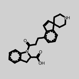 O=C(O)C1Cc2ccccc2N1C(=O)CCc1cccc2c1C=CC21CCNCC1